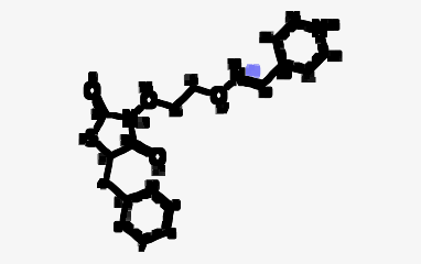 O=C1SC(Cc2ccccc2)C(=O)N1OCCO/N=C/c1ccncc1